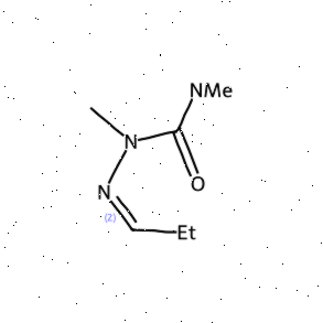 CC/C=N\N(C)C(=O)NC